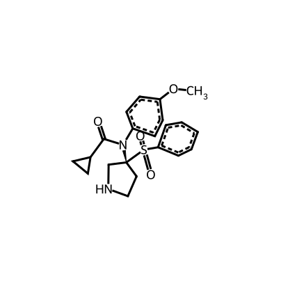 COc1ccc(N(C(=O)C2CC2)[C@@]2(S(=O)(=O)c3ccccc3)CCNC2)cc1